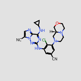 N#Cc1cc(Nc2nc(NC3CC3)c3ncc(C#N)n3n2)c(Cl)c(N2CCN3CCOC[C@H]3C2)c1